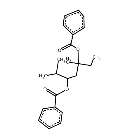 CCC(C)(CC(OC(=O)c1ccccc1)C(C)C)OC(=O)c1ccccc1